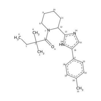 CCC(C)(C)C(=O)N1CCCCC1c1ncc(-c2ccc(C)cc2)[nH]1